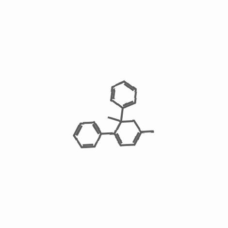 CC1=CC=C(c2ccccc2)C(C)(c2ccccc2)C1